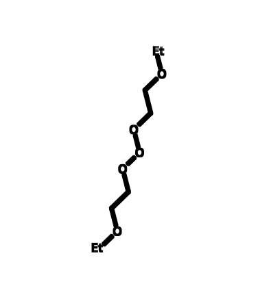 CCOCCOOOCCOCC